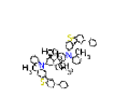 Cc1ccccc1N(c1cc(C)c(-c2c(C)cc(N(c3ccc4sc5ccc(-c6ccccc6)cc5c4c3)c3ccccc3C)cc2C)c(C)c1)c1ccc2sc3ccc(-c4ccccc4)cc3c2c1